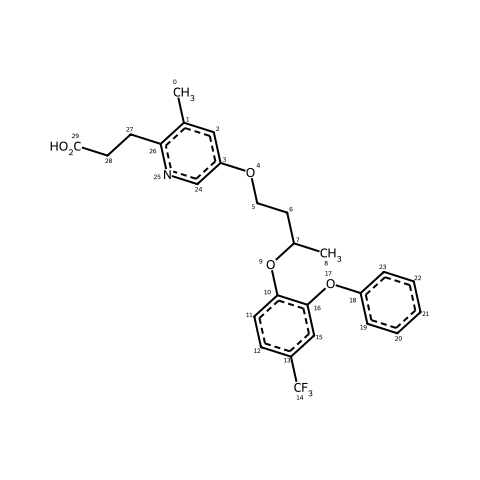 Cc1cc(OCCC(C)Oc2ccc(C(F)(F)F)cc2Oc2ccccc2)cnc1CCC(=O)O